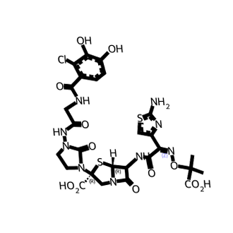 CC(C)(O/N=C(\C(=O)NC1C(=O)N2C[C@@](C(=O)O)(N3CCN(NC(=O)CNC(=O)c4ccc(O)c(O)c4Cl)C3=O)S[C@H]12)c1csc(N)n1)C(=O)O